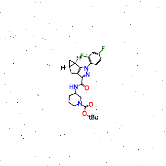 CC(C)(C)OC(=O)N1CCC[C@@H](NC(=O)c2nn(-c3ccc(F)cc3F)c3c2C[C@H]2C[C@@H]32)C1